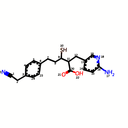 N#CCc1ccc(CCC(S)C(Cc2ccc(N)nc2)C(=O)O)cc1